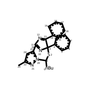 CCCCC(SC1(c2ccccc2)N=CN=C1c1ccccc1)n1nc(C)cc1C